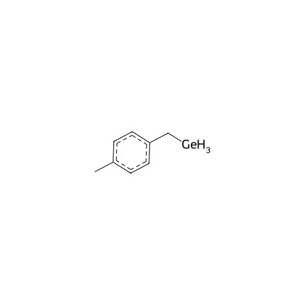 Cc1ccc([CH2][GeH3])cc1